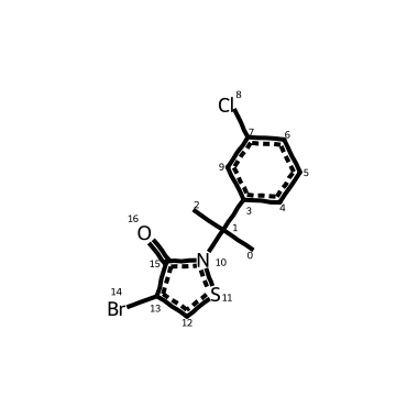 CC(C)(c1cccc(Cl)c1)n1scc(Br)c1=O